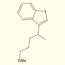 COCCCC(C)c1csc2ccccc12